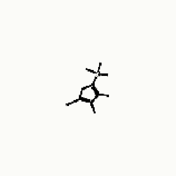 CC1=C(C)C(C)=C([Si](C)(C)C)C1